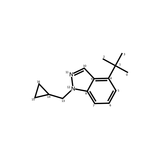 CC(C)(C)c1cccc2c1cnn2CC1CC1